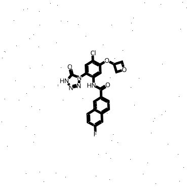 O=C(Nc1cc(OC2COC2)c(Cl)cc1-n1nn[nH]c1=O)c1ccc2cc(F)ccc2c1